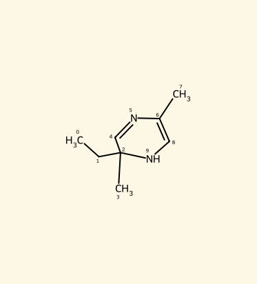 CCC1(C)C=NC(C)=CN1